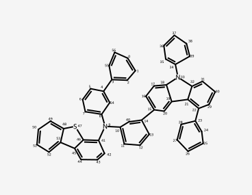 c1ccc(-c2cccc(N(c3cccc(-c4ccc5c(c4)c4c(-c6ccccc6)cccc4n5-c4ccccc4)c3)c3cccc4c3sc3ccccc34)c2)cc1